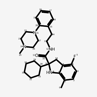 Cc1ccc(F)c2c1NC(C(=O)NCCc1ccccc1N1CCN(C)CC1)(C1CCCCC1)C2